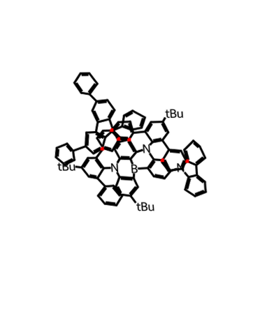 CC(C)(C)c1ccc2c(c1)B1c3ccc(-n4c5ccccc5c5ccccc54)cc3N(c3c(-c4ccccc4)cc(C(C)(C)C)cc3-c3ccccc3)c3cc(C4(c5ccccc5)c5ccc(-c6ccccc6)cc5-c5cc(-c6ccccc6)ccc54)cc(c31)N2c1c(-c2ccccc2)cc(C(C)(C)C)cc1-c1ccccc1